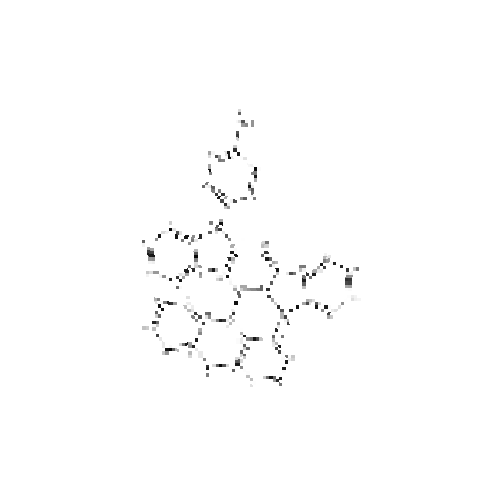 CC(C)(C)c1ccc(-n2c3ccccc3c3c4c5c(cc32)c2ccccc2n5-c2cccc3c2B4c2ccccc2O3)cc1